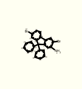 Nc1cc2c(cc1Br)-c1ccc(Br)cc1C2(c1ccccc1)c1ccccc1